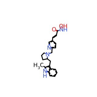 Cc1[nH]c2ccccc2c1CC1CCCN1Cc1ccc(C=CC(=O)NO)cn1